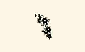 Cc1cc(-n2cccn2)c2cccc(OCc3c(Cl)ccc(-n4cccc4C(=O)O)c3Cl)c2n1